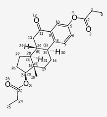 CCC(=O)Oc1ccc2c(c1)C(=O)C[C@@H]1[C@@H]2CC[C@]2(C)[C@@H](OC(=O)CC)CC[C@@H]12